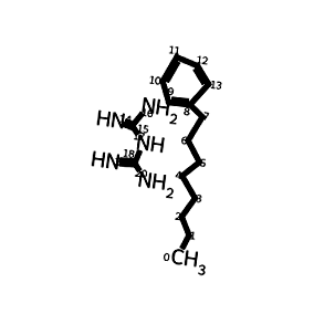 CCCCCCCCc1ccccc1.N=C(N)NC(=N)N